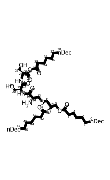 CCCCCCCCCCCCCCCC(=O)OCC(CSC[C@H](N)C(=O)N[C@@H](CO)C(=O)N[C@@H](CO)C(=O)OC(=O)CCCCCCCCCCCCCCC)OC(=O)CCCCCCCCCCCCCCC